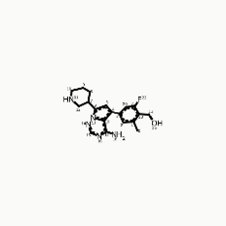 Cc1cc(-c2cc(C3CCCNC3)n3ncnc(N)c23)cc(F)c1CO